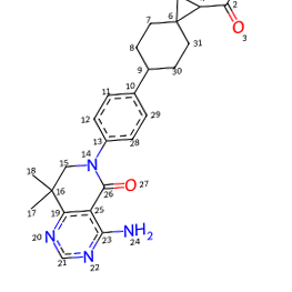 COC(=O)C1CC12CCC(c1ccc(N3CC(C)(C)c4ncnc(N)c4C3=O)cc1)CC2